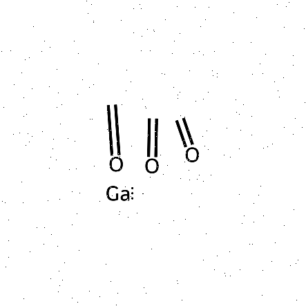 C=O.C=O.C=O.[Ga]